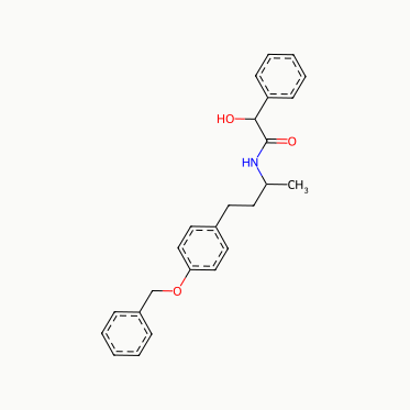 CC(CCc1ccc(OCc2ccccc2)cc1)NC(=O)C(O)c1ccccc1